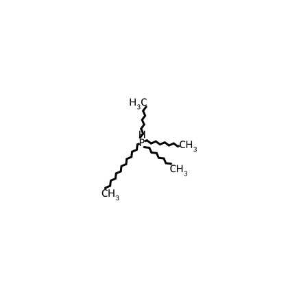 CCCCCCCCCCCCCC[PH](CCCCCCCCC)(CCCCCCCCC)CCCCCCCCC